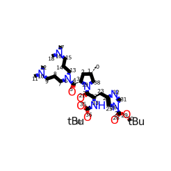 C[C@H]1C[C@@H](C(=O)N(CCCN(C)C)CCCN(C)C)N(C(=O)[C@@H](Cc2cn(C(=O)OC(C)(C)C)cn2)NC(=O)OC(C)(C)C)C1